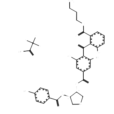 CCCCOC(=O)c1cccc(O)c1C(=O)c1c(O)cc(C(=O)O[C@@H]2CNC[C@H]2NC(=O)c2ccc(O)cc2)cc1O.O=C(O)C(F)(F)F